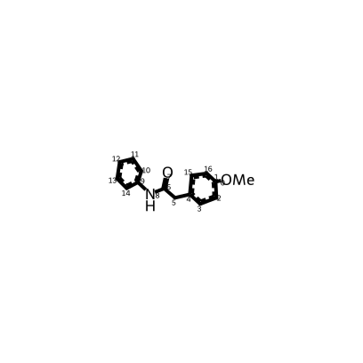 COc1ccc(CC(=O)Nc2ccccc2)cc1